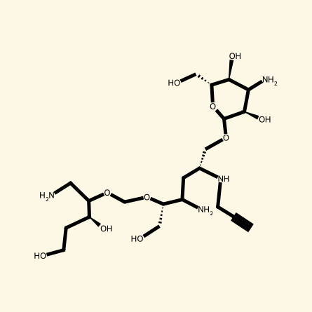 C#CCN[C@@H](COC1O[C@H](CO)[C@@H](O)C(N)[C@H]1O)CC(N)[C@H](CO)OCOC(CN)[C@@H](O)CCO